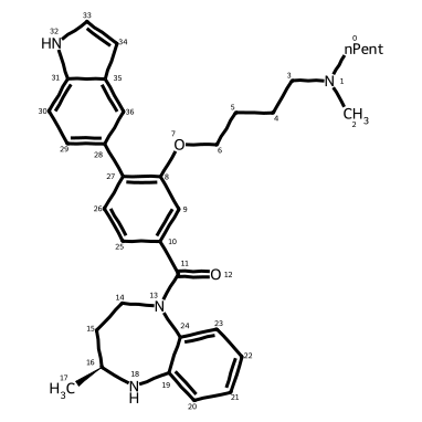 CCCCCN(C)CCCCOc1cc(C(=O)N2CC[C@H](C)Nc3ccccc32)ccc1-c1ccc2[nH]ccc2c1